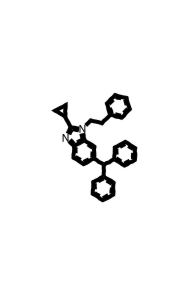 c1ccc(CCn2c(C3CC3)nc3ccc(C(c4ccccc4)c4ccccc4)cc32)cc1